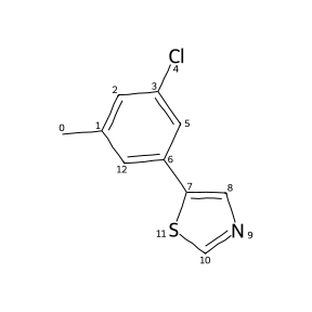 Cc1cc(Cl)cc(-c2cncs2)c1